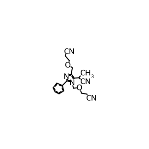 CC(C#N)c1c(COCCC#N)nc(-c2ccccc2)n1COCCC#N